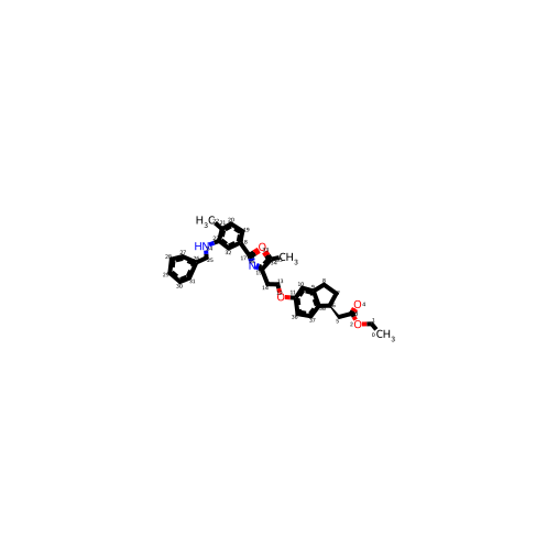 CCOC(=O)C[C@@H]1CCc2cc(OCCc3nc(-c4ccc(C)c(NCc5ccccc5)c4)oc3C)ccc21